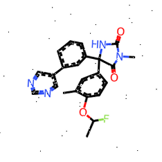 Cc1cc(C2(c3cccc(-c4cncnc4)c3)NC(=O)N(C)C2=O)ccc1OC(C)F